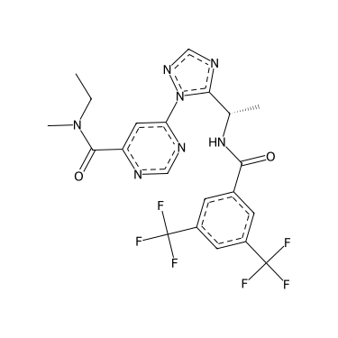 CCN(C)C(=O)c1cc(-n2ncnc2[C@H](C)NC(=O)c2cc(C(F)(F)F)cc(C(F)(F)F)c2)ncn1